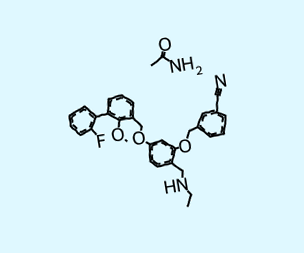 CC(N)=O.CCNCc1ccc(OCc2cccc(-c3ccccc3F)c2OC)cc1OCc1cccc(C#N)c1